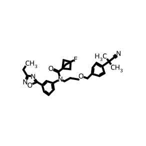 CCc1noc(-c2cccc(N(CCCOCc3ccc(C(C)(C)C#N)cc3)C(=O)C34CC(F)(C3)C4)c2)n1